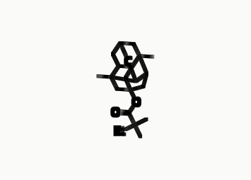 CCC(C)(C)C(=O)OC12CC3C4CC5CC(C(C1)C3(C)C5)C4(C)C2